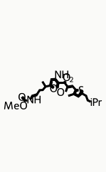 COC(=O)N/C=C/CCC(C)c1cc(N)c(C(=O)/C(C)=C/c2sc(CCC(C)C)cc2C)c(=O)o1